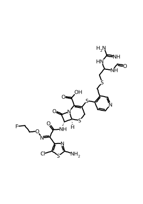 N=C(N)NC(CSCc1cnccc1SC1=C(C(=O)O)N2C(=O)[C@@H](NC(=O)/C(=N\OCCF)c3nc(N)sc3Cl)[C@@H]2SC1)NC=O